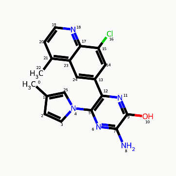 Cc1ccn(-c2nc(N)c(O)nc2-c2cc(Cl)c3nccc(C)c3c2)c1